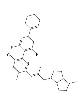 C/C(=C\c1nc(-c2c(F)cc(C3=CCCCC3)cc2F)c(Cl)cc1C)CC1CCC2C(C)CCC12